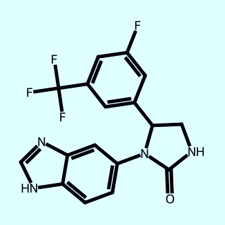 O=C1NCC(c2cc(F)cc(C(F)(F)F)c2)N1c1ccc2[nH]cnc2c1